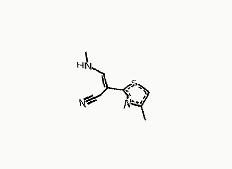 CNC=C(C#N)c1nc(C)cs1